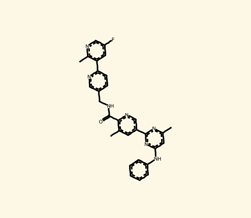 Cc1cc(Nc2ccccc2)nc(-c2cnc(C(=O)NCc3ccc(-c4cc(F)cnc4C)nc3)c(C)c2)n1